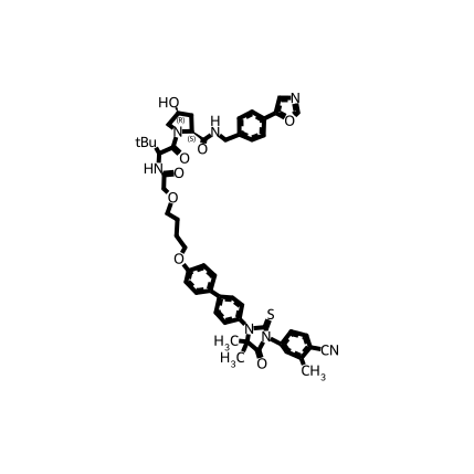 Cc1cc(N2C(=O)C(C)(C)N(c3ccc(-c4ccc(OCCCCOCC(=O)NC(C(=O)N5C[C@H](O)C[C@H]5C(=O)NCc5ccc(-c6cnco6)cc5)C(C)(C)C)cc4)cc3)C2=S)ccc1C#N